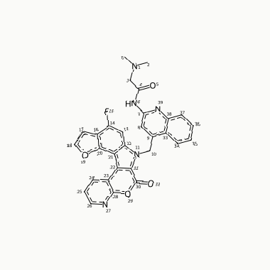 CN(C)CC(=O)Nc1cc(Cn2c3cc(F)c4ccoc4c3c3c4cccnc4oc(=O)c32)c2ccccc2n1